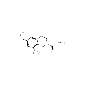 CCCCOc1cc2c(c(OC)c1)CN(C(=O)OC(C)(C)C)CC2